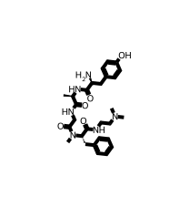 C[C@@H](NC(=O)[C@@H](N)Cc1ccc(O)cc1)C(=O)NCC(=O)N(C)[C@@H](Cc1ccccc1)C(=O)NCCN(C)C